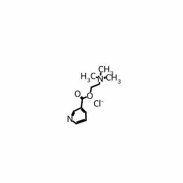 C[N+](C)(C)CCOC(=O)c1cccnc1.[Cl-]